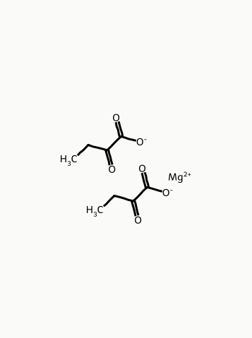 CCC(=O)C(=O)[O-].CCC(=O)C(=O)[O-].[Mg+2]